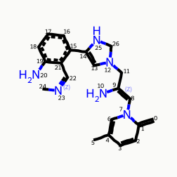 C=C1C=CC(C)=CN1/C=C(\N)CN1C=C(c2cccc(N)c2/C=N\C)NC1